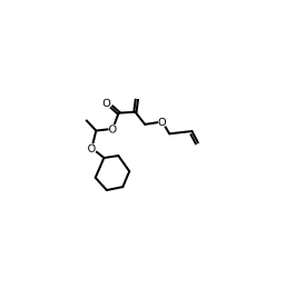 C=CCOCC(=C)C(=O)OC(C)OC1CCCCC1